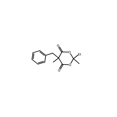 CCC1(C)OC(=O)C(C)(Cc2ccccc2)C(=O)O1